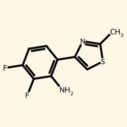 Cc1nc(-c2ccc(F)c(F)c2N)cs1